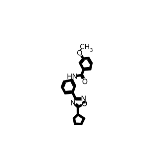 COc1cccc(C(=O)Nc2cccc(-c3noc(C4CCCC4)n3)c2)c1